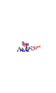 CC1(NS(=O)(=O)c2cc(N3CCC(O)CC3)c3cnc(-c4nnc(C(F)F)s4)n3c2)CC1